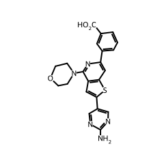 Nc1ncc(-c2cc3c(N4CCOCC4)nc(-c4cccc(C(=O)O)c4)cc3s2)cn1